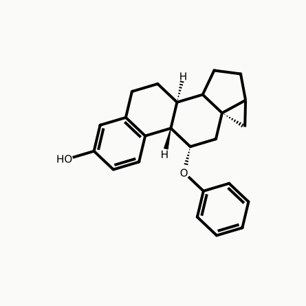 Oc1ccc2c(c1)CC[C@H]1C3CCC4C[C@@]43C[C@H](Oc3ccccc3)[C@H]21